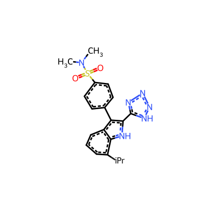 CC(C)c1cccc2c(-c3ccc(S(=O)(=O)N(C)C)cc3)c(-c3nnn[nH]3)[nH]c12